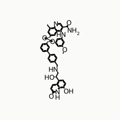 COc1cccc(Nc2c(C(N)=O)cnc3c(C)cc(S(=O)(=O)c4cccc(-c5ccc(CNC[C@H](O)c6ccc(O)c7[nH]c(=O)ccc67)cc5)c4)cc23)c1